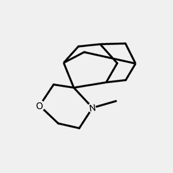 CN1CCOCC12C1CC3CC(C1)CC2C3